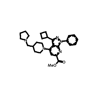 COC(=O)c1cc(N2CCC(CN3CCCC3)CC2)c2c(C3CCC3)nn(-c3ccccc3)c2n1